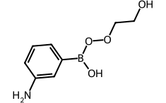 Nc1cccc(B(O)OOCCO)c1